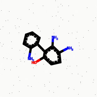 Nc1ccccc1-c1c(O)ccc(N)c1N